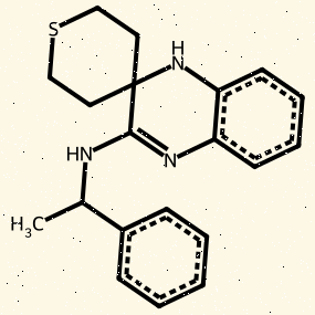 CC(NC1=Nc2ccccc2NC12CCSCC2)c1ccccc1